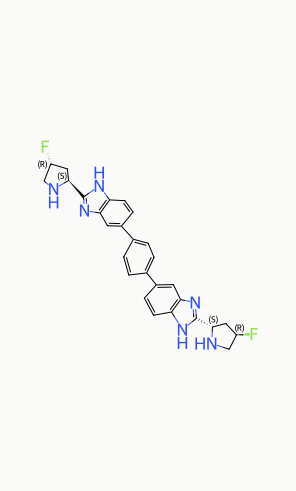 F[C@H]1CN[C@H](c2nc3cc(-c4ccc(-c5ccc6[nH]c([C@@H]7C[C@@H](F)CN7)nc6c5)cc4)ccc3[nH]2)C1